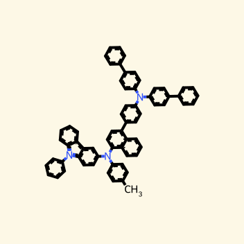 Cc1ccc(N(c2ccc3c(c2)c2ccccc2n3-c2ccccc2)c2ccc(-c3ccc(N(c4ccc(-c5ccccc5)cc4)c4ccc(-c5ccccc5)cc4)cc3)c3ccccc23)cc1